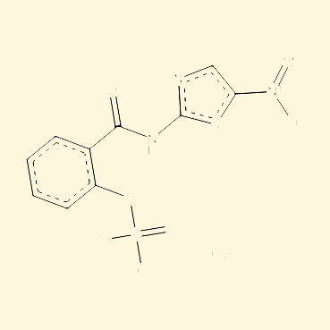 O=C(Nc1ncc([N+](=O)[O-])s1)c1ccccc1OP(=O)([O-])[O-].[Ca+2]